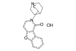 Cl.O=c1c2c(ccn1C1CN3CCC1CC3)oc1ccccc12